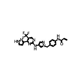 C=CC(=O)Nc1ccc(Cn2cc(Nc3ncc(C(F)(F)F)c(-c4cc[nH]n4)n3)cn2)cc1